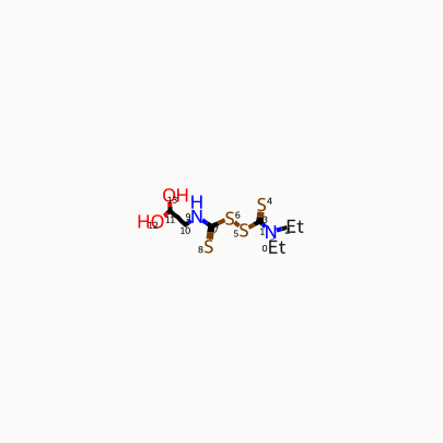 CCN(CC)C(=S)SSC(=S)NCC(O)O